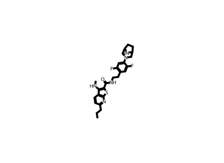 CCCc1ccc2c(NC)c(C(=O)NCCc3cc(F)c(N4CC5CCC(C4)N5)cc3F)sc2n1